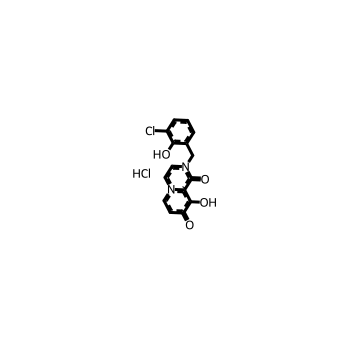 Cl.O=c1ccn2ccn(Cc3cccc(Cl)c3O)c(=O)c2c1O